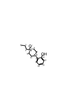 [CH2]CC[N+]1([O-])CCN(c2ccccc2O)CC1